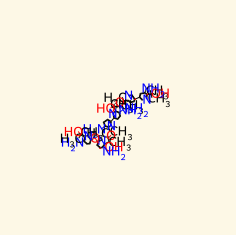 CC(C)(O)c1ncc(-c2cnc(C(C)(C)OCC(C)(O)c3nc(-c4ccc(N)c(C(C)(C)OCC(C)(O)c5nc(Oc6ccc(N)c(C(C)(C)O)n6)ccc5N)n4)ccc3N)c(N)c2)cc1N